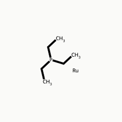 CCP(CC)CC.[Ru]